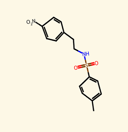 Cc1ccc(S(=O)(=O)NCCc2ccc([N+](=O)[O-])cc2)cc1